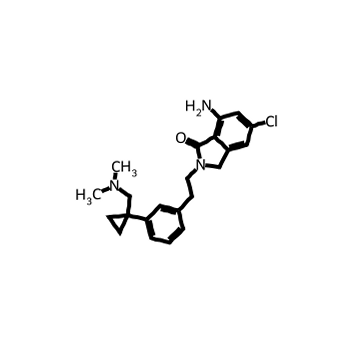 CN(C)CC1(c2cccc(CCN3Cc4cc(Cl)cc(N)c4C3=O)c2)CC1